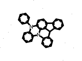 CC12c3ccccc3-c3ccc4c(c31)N(c1ccccc1N4c1ccccc1)c1ccccc12